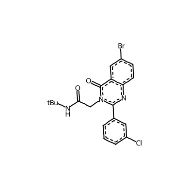 CC(C)(C)NC(=O)Cn1c(-c2cccc(Cl)c2)nc2ccc(Br)cc2c1=O